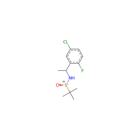 CC(N[S@+]([O-])C(C)(C)C)c1cc(Cl)ccc1F